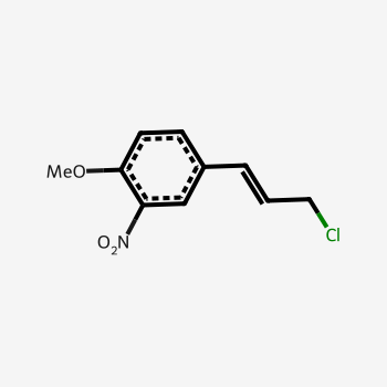 COc1ccc(C=CCCl)cc1[N+](=O)[O-]